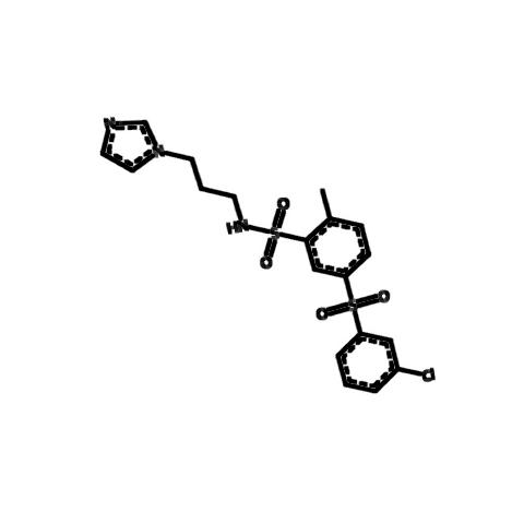 Cc1ccc(S(=O)(=O)c2cccc(Cl)c2)cc1S(=O)(=O)NCCCn1ccnc1